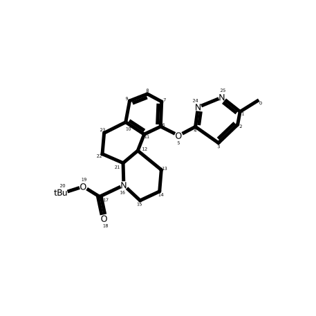 Cc1ccc(Oc2cccc3c2C2CCCN(C(=O)OC(C)(C)C)C2CC3)nn1